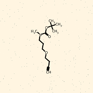 C#CCCOCCCN(C)C(=O)OC(C)(C)C